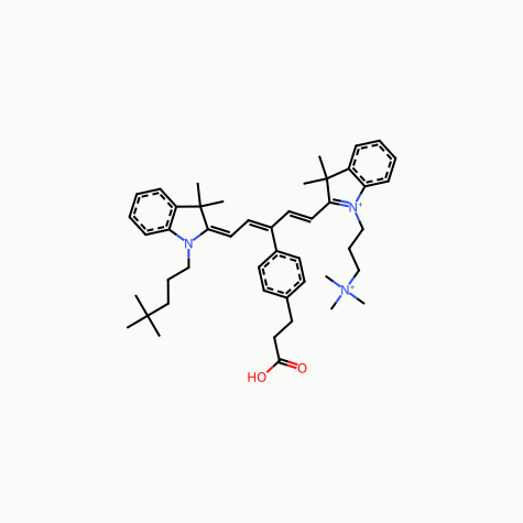 CC(C)(C)CCCN1/C(=C/C=C(/C=C/C2=[N+](CCC[N+](C)(C)C)c3ccccc3C2(C)C)c2ccc(CCC(=O)O)cc2)C(C)(C)c2ccccc21